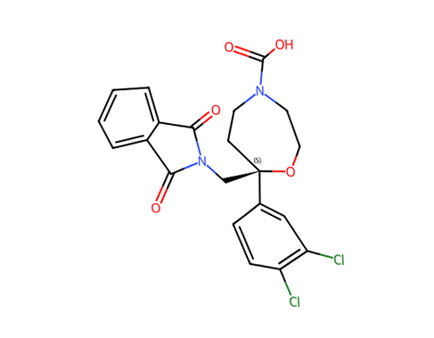 O=C(O)N1CCO[C@](CN2C(=O)c3ccccc3C2=O)(c2ccc(Cl)c(Cl)c2)CC1